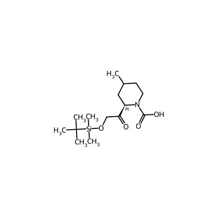 CC1CCN(C(=O)O)[C@@H](C(=O)CO[Si](C)(C)C(C)(C)C)C1